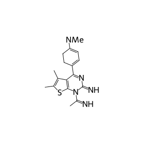 CNC1=CC=C(c2nc(=N)n(C(C)=N)c3sc(C)c(C)c23)CC1